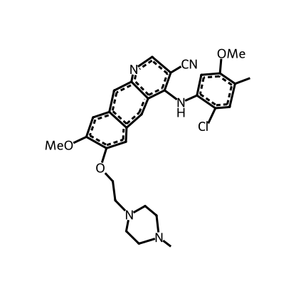 COc1cc(Nc2c(C#N)cnc3cc4cc(OC)c(OCCN5CCN(C)CC5)cc4cc23)c(Cl)cc1C